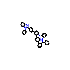 c1ccc(-c2nc3c(ccc4c5cc(-c6ccc(-c7nc8ccccc8n7-c7ccccc7)cc6)ccc5n(-c5ccccc5)c43)c3ccccc23)cc1